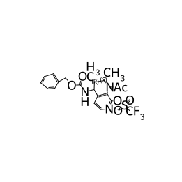 CC(=O)N1c2c(ccnc2OS(=O)(=O)C(F)(F)F)C(NC(=O)OCc2ccccc2)[C@@H](C)[C@@H]1C